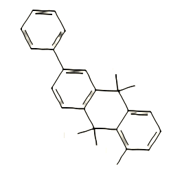 CC1(C)c2cc(-c3ccccc3)ccc2C(C)(C)c2c(Br)cccc21